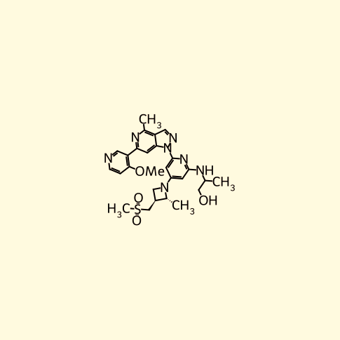 COc1ccncc1-c1cc2c(cnn2-c2cc(N3C[C@H](CS(C)(=O)=O)[C@H]3C)cc(NC(C)CO)n2)c(C)n1